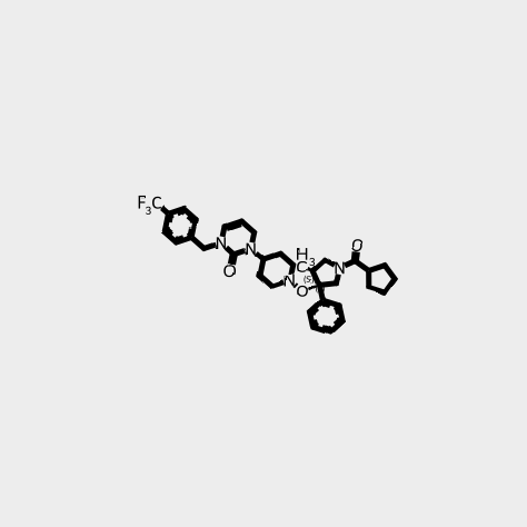 C[C@H]1CN(C(=O)C2CCCC2)C[C@]1(ON1CCC(N2CC=CN(Cc3ccc(C(F)(F)F)cc3)C2=O)CC1)c1ccccc1